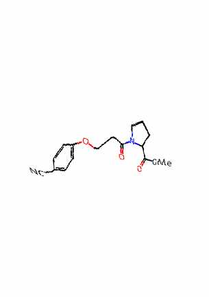 COC(=O)C1CCCN1C(=O)CCOc1ccc(C#N)cc1